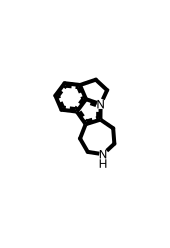 c1cc2c3c(c1)c1c(n3CC2)CCNCC1